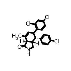 CC1=CC(c2ccc(Cl)cc2Cl)[C@H](c2ccc(Cl)cc2)[C@@H]2CNC(=O)[C@H]12